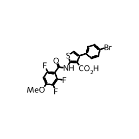 COc1cc(F)c(C(=O)Nc2scc(-c3ccc(Br)cc3)c2C(=O)O)c(F)c1F